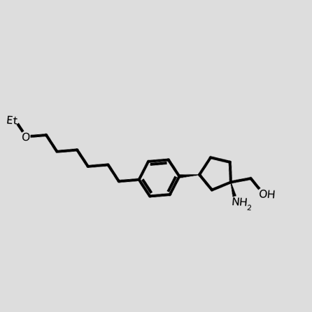 CCOCCCCCCc1ccc([C@H]2CC[C@](N)(CO)C2)cc1